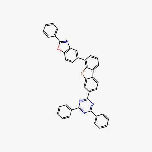 c1ccc(-c2nc(-c3ccccc3)nc(-c3ccc4c(c3)sc3c(-c5ccc6oc(-c7ccccc7)nc6c5)cccc34)n2)cc1